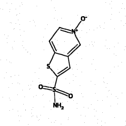 NS(=O)(=O)c1cc2c[n+]([O-])ccc2s1